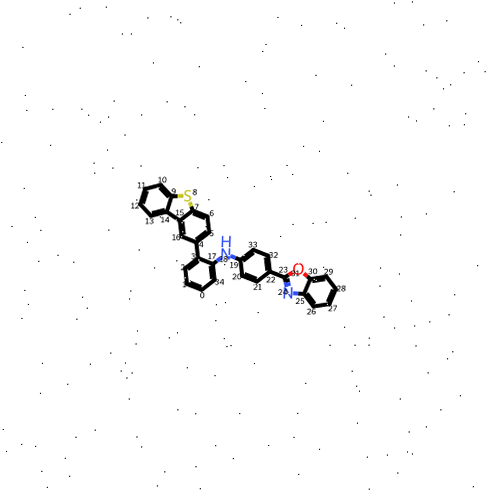 c1ccc(-c2ccc3sc4ccccc4c3c2)c(Nc2ccc(-c3nc4ccccc4o3)cc2)c1